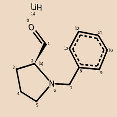 O=C[C@@H]1CCCN1Cc1ccccc1.[LiH]